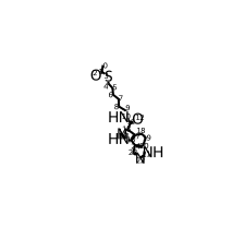 CC(=O)SCCCCCCNC(=O)c1n[nH]c2c1CCc1[nH]ncc1-2